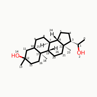 CC(O)[C@H]1CC[C@H]2[C@@H]3CCC4CC(C)(O)CC[C@]4(C)[C@H]3CC[C@]12C